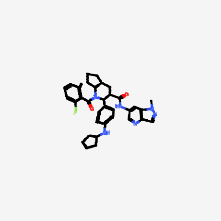 Cc1cccc(F)c1C(=O)N1C2CCCC2CC(C(=O)Nc2cnc3cnn(C)c3c2)C1c1ccc(NC2CCCC2)cc1